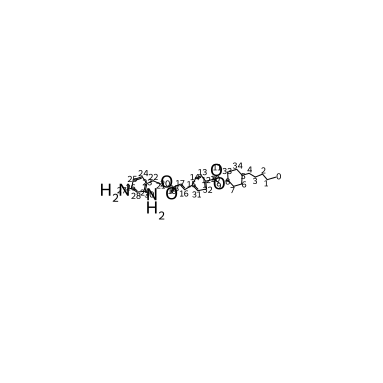 CCCCCC1CCC(OC(=O)c2ccc(/C=C/C(=O)OCCc3ccc(N)cc3N)cc2)CC1